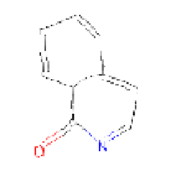 O=C1N=CC=C2C=CC=CC12